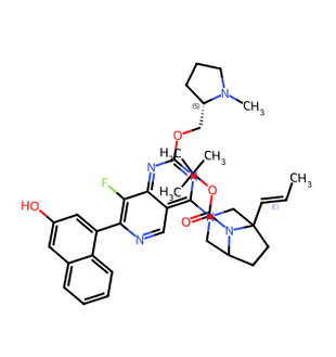 C/C=C/C12CCC(CN(c3nc(OC[C@@H]4CCCN4C)nc4c(F)c(-c5cc(O)cc6ccccc56)ncc34)C1)N2C(=O)OC(C)(C)C